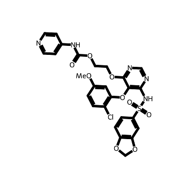 COc1ccc(Cl)c(Oc2c(NS(=O)(=O)c3ccc4c(c3)OCO4)ncnc2OCCOC(=O)Nc2ccncc2)c1